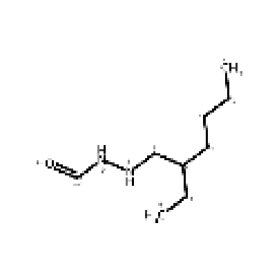 CCCCC(CC)CNN[C]=O